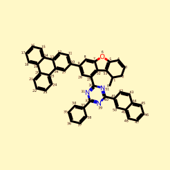 CC1CC=Cc2oc3cc(-c4ccc5c6ccccc6c6ccccc6c5c4)cc(-c4nc(-c5ccccc5)nc(-c5ccc6ccccc6c5)n4)c3c21